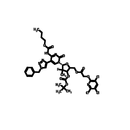 CCCCOC(=O)Nc1nc(=O)n([C@@H]2OC(COC(=O)COc3nc(Cl)c(Cl)cc3Cl)C(OC(=O)OC(C)(C)C)C2(C)F)cc1-c1cn(Cc2ccccc2)nn1